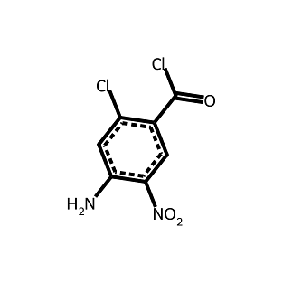 Nc1cc(Cl)c(C(=O)Cl)cc1[N+](=O)[O-]